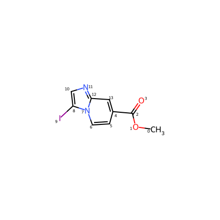 COC(=O)c1ccn2c(I)cnc2c1